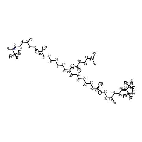 C/C(=C/CCC(C)CCOC(=O)CCCCCCCC(CCCCCCCC(=O)OCCC(C)CCC=C(C(F)(F)F)C(F)(F)F)OC(=O)CCCN(C)C)C(F)(F)F